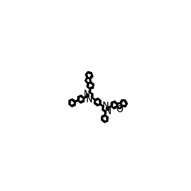 c1ccc(-c2ccc(-c3nc(-c4ccc(-c5cc(-c6ccccc6)nc(-c6ccc7c(c6)oc6ccccc67)n5)cc4)cc(-c4ccc5c(c4)Cc4ccccc4-5)n3)cc2)cc1